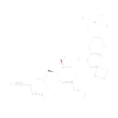 C#Cc1cc(F)cc(C[C@H](NC(=O)COC)[C@@H](O)CN[C@H]2CC3(CCC3)Oc3ncc(CC(C)(C)C)cc32)c1